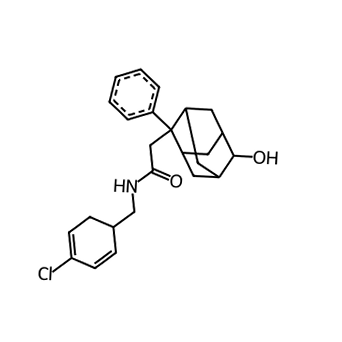 O=C(CC1(c2ccccc2)C2CC3CC1CC(C2)C3O)NCC1C=CC(Cl)=CC1